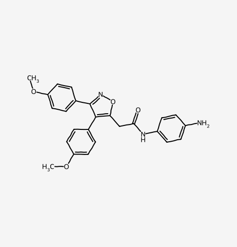 COc1ccc(-c2noc(CC(=O)Nc3ccc(N)cc3)c2-c2ccc(OC)cc2)cc1